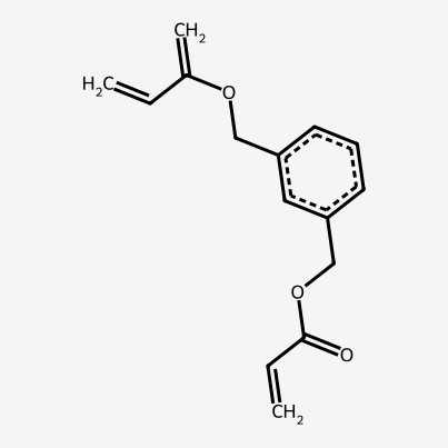 C=CC(=C)OCc1cccc(COC(=O)C=C)c1